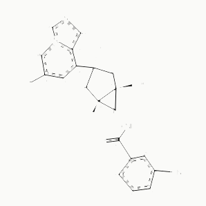 N#Cc1cccc(C(=O)N[C@@H]2[C@@H]3C[C@@](O)(c4cc(Cl)cn5cncc45)C[C@@H]32)c1